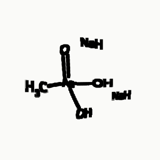 C[As](=O)(O)O.[NaH].[NaH]